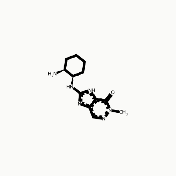 Cn1ncc2nc(N[C@@H]3CCCC[C@@H]3N)[nH]c2c1=O